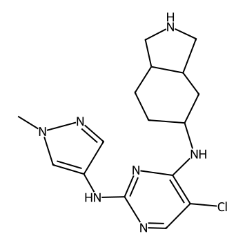 Cn1cc(Nc2ncc(Cl)c(NC3CCC4CNCC4C3)n2)cn1